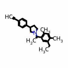 C#Cc1ccc(C2CCN(C(=C)c3cc(CC)c(C)cc3C)C2)cc1